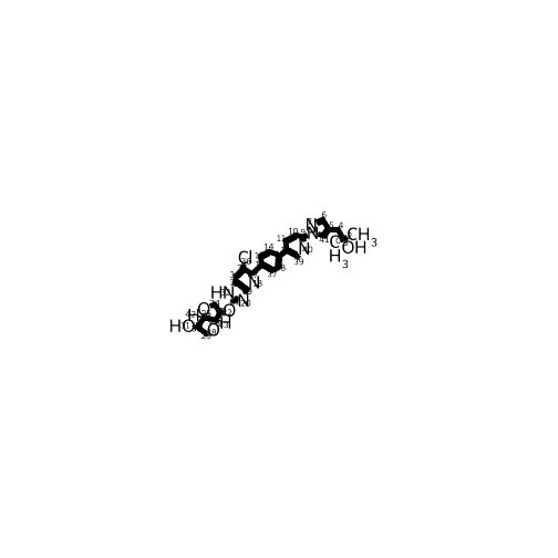 CC(C)(O)Cc1cnn(-c2ccc(-c3ccc(-c4nc5nc(O[C@@H]6CO[C@H]7[C@@H]6OC[C@H]7O)[nH]c5cc4Cl)cc3)cn2)c1